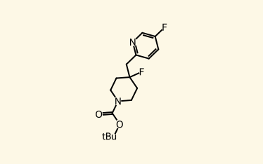 CC(C)(C)OC(=O)N1CCC(F)(Cc2ccc(F)cn2)CC1